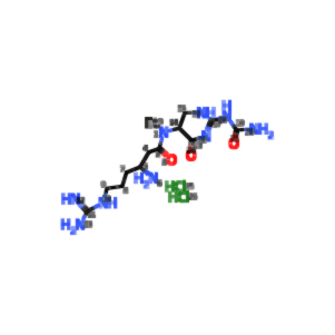 CCN(C(=O)C[C@@H](N)CCCNC(=N)N)C1CNC(NC(N)=O)=NC1=O.Cl.Cl